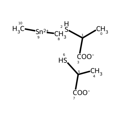 CC(S)C(=O)[O-].CC(S)C(=O)[O-].[CH3][Sn+2][CH3]